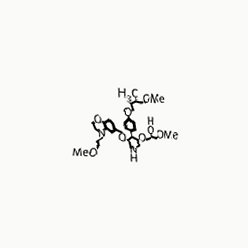 COCCCN1CCOc2ccc(CO[C@H]3CNC[C@@H](OC[C@@H](O)COC)[C@@H]3c3ccc(OCC[C@H](C)COC)cc3)cc21